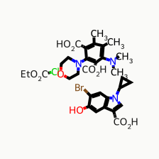 CCOC(=O)Cl.Cc1c(C)c(N(C)C)c(C(=O)O)c(N2CCOCC2)c1C(=O)O.O=C(O)c1cn(C2CC2)c2cc(Br)c(O)cc12